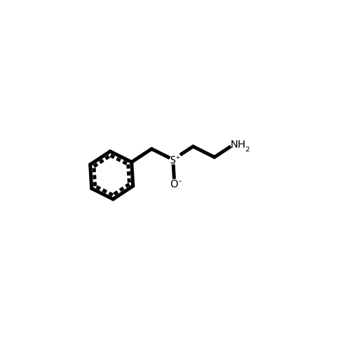 NCC[S+]([O-])Cc1ccccc1